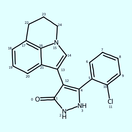 O=c1[nH][nH]c(-c2ccccc2Cl)c1-c1cn2c3c(cccc13)CCC2